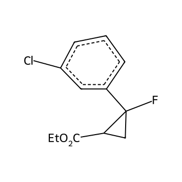 CCOC(=O)C1CC1(F)c1cccc(Cl)c1